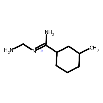 CC1CCCC(/C(N)=N/CN)C1